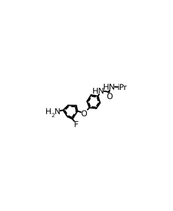 CC(C)NC(=O)Nc1ccc(Oc2ccc(N)cc2F)cc1